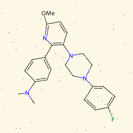 COc1ccc(N2CCN(c3ccc(F)cc3)CC2)c(-c2ccc(N(C)C)cc2)n1